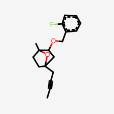 CC#CCC12CCC(C)(O1)C(OCc1ccccc1F)C2